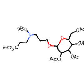 CCCCN(CCCOC1OC(COC(C)=O)C(OC(C)=O)C(OC(C)=O)C1OC(C)=O)CCC(=O)OCC